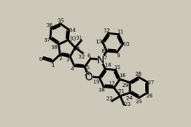 C=CC1=C(/C=C2\CN(c3ccccc3)c3cc4c(cc3O2)C(C)(C)c2ccccc2-4)C(C)(C)c2ccccc21